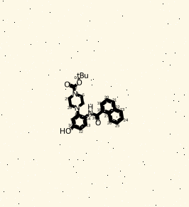 CC(C)(C)OC(=O)N1CCN(c2cc(O)ccc2NC(=O)c2cccc3ccccc23)CC1